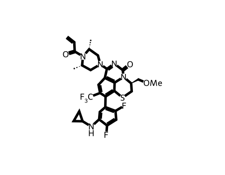 C=CC(=O)N1[C@H](C)CN(c2nc(=O)n3c4c(c(-c5cc(NC6CC6)c(F)cc5F)c(C(F)(F)F)cc24)SC[C@@H]3COC)C[C@@H]1C